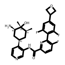 C[C@H]1C[C@@H](c2ccncc2NC(=O)c2ccc(F)c(-c3c(F)cc(C4COC4)cc3F)n2)C[C@@H](N)[C@]1(C)O